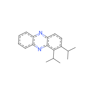 CC(C)c1ccc2nc3ccccc3nc2c1C(C)C